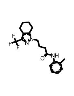 Cc1ccccc1NC(=O)CCCn1nc(C(F)(F)F)c2c1CCCC2